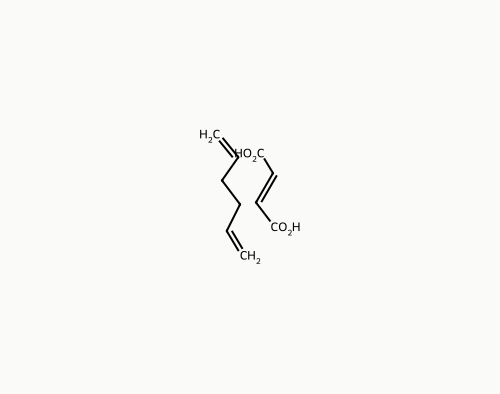 C=CCCC=C.O=C(O)/C=C/C(=O)O